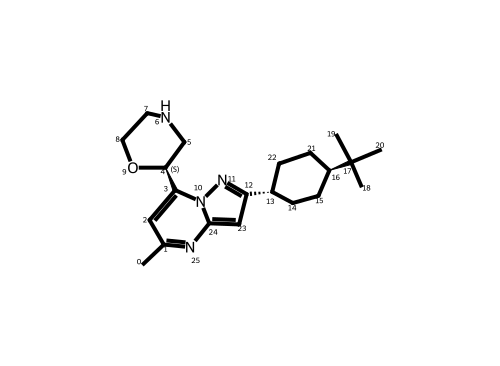 Cc1cc([C@@H]2CNCCO2)n2nc([C@H]3CC[C@H](C(C)(C)C)CC3)cc2n1